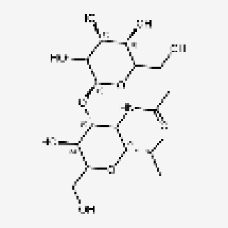 CC(=O)NC1[C@H](C(C)C)OC(CO)[C@@H](O)[C@@H]1O[C@@H]1OC(CO)[C@H](O)[C@H](O)C1O